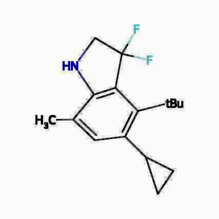 Cc1cc(C2CC2)c(C(C)(C)C)c2c1NCC2(F)F